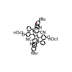 CCCCCCCCOc1ccc(-c2c3/c(=C(\C#N)c4nc5cc(C(C)(C)C)ccc5o4)n(B(c4ccccc4)c4ccccc4)c(-c4ccc(OCCCCCCCC)cc4)c3/c(=C(\C#N)c3nc4cc(C(C)(C)C)ccc4o3)n2B(c2ccccc2)c2ccccc2)cc1